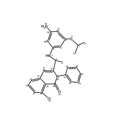 CC(C)Oc1cc(NC(C)c2nc3cccc(Cl)c3c(=O)n2-c2ccccc2)nc(N)n1